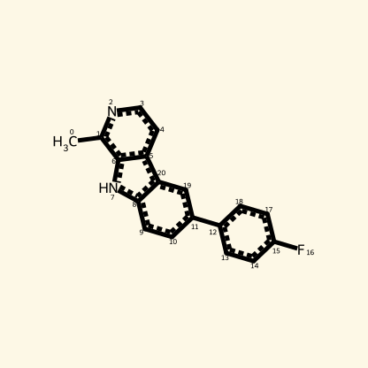 Cc1nccc2c1[nH]c1ccc(-c3ccc(F)cc3)cc12